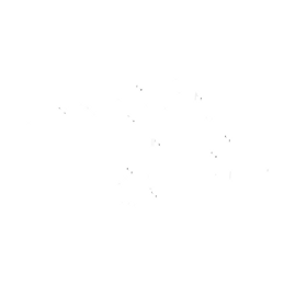 C=NN(/C=C1\CC(NC(CC)c2ncccn2)=C(c2nc3ccc(N4CCOCC4)cc3[nH]2)C(=O)N1)CC